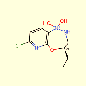 CC[C@@H]1CN[N+](O)(O)c2ccc(Cl)nc2O1